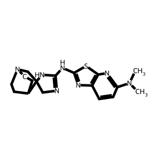 CN(C)c1ccc2nc(NC3=NCC4(CN5CCC4CC5)N3)sc2n1